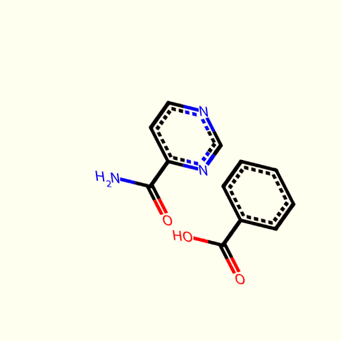 NC(=O)c1ccncn1.O=C(O)c1ccccc1